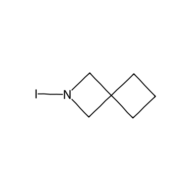 IN1CC2(CCC2)C1